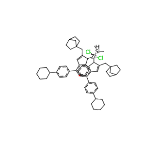 C[SiH](C)[Zr]([Cl])([Cl])([CH]1C(CC23CCC(CC2)C3)=Cc2c(-c3ccc(C4CCCCC4)cc3)cccc21)[CH]1C(CC23CCC(CC2)C3)=Cc2c(-c3ccc(C4CCCCC4)cc3)cccc21